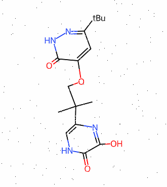 CC(C)(C)c1cc(OCC(C)(C)c2c[nH]c(=O)c(O)n2)c(=O)[nH]n1